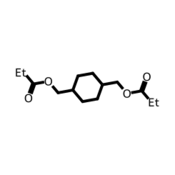 CCC(=O)OCC1CCC(COC(=O)CC)CC1